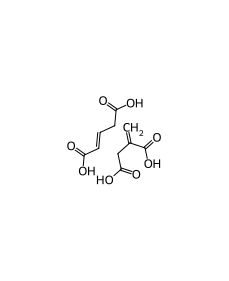 C=C(CC(=O)O)C(=O)O.O=C(O)C=CCC(=O)O